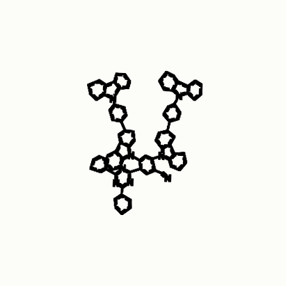 N#Cc1cc(-c2nc(-c3ccccc3)nc(-c3ccccc3)n2)c(-n2c3ccccc3c3cc(-c4ccc(-n5c6ccccc6c6ccccc65)cc4)ccc32)cc1-n1c2ccccc2c2cc(-c3ccc(-n4c5ccccc5c5ccccc54)cc3)ccc21